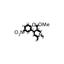 COC(=O)C1=CN(C)C(C)=CC1c1cccc([N+](=O)[O-])c1